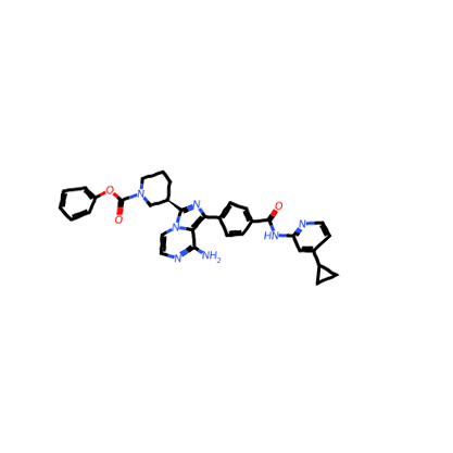 Nc1nccn2c([C@@H]3CCCN(C(=O)Oc4ccccc4)C3)nc(-c3ccc(C(=O)Nc4cc(C5CC5)ccn4)cc3)c12